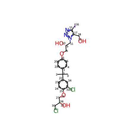 CC(C)(c1ccc(OC[C@H](O)Cn2nnc(I)c2CO)cc1)c1ccc(OC[C@@H](O)CCl)c(Cl)c1